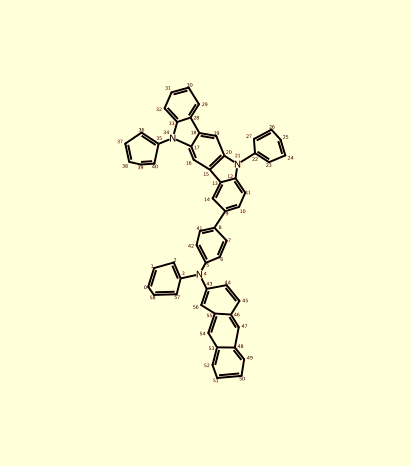 c1ccc(N(c2ccc(-c3ccc4c(c3)c3cc5c(cc3n4-c3ccccc3)c3ccccc3n5-c3ccccc3)cc2)c2ccc3cc4ccccc4cc3c2)cc1